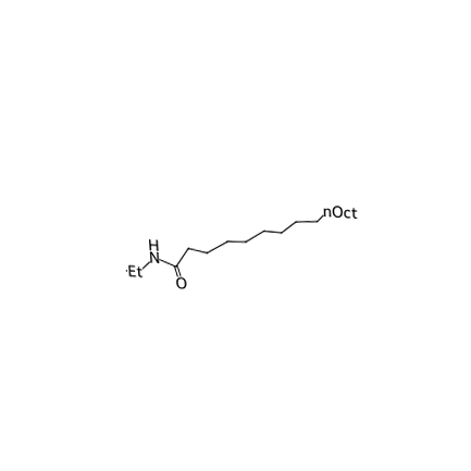 C[CH]NC(=O)CCCCCCCCCCCCCCCC